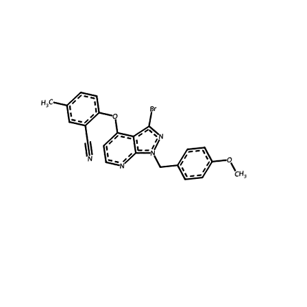 COc1ccc(Cn2nc(Br)c3c(Oc4ccc(C)cc4C#N)ccnc32)cc1